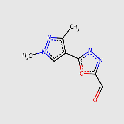 Cc1nn(C)cc1-c1nnc(C=O)o1